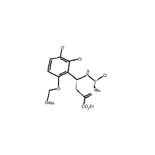 C=C(C[C@@H](N[S@@+]([O-])C(C)(C)C)c1c(OCOC)ccc(Cl)c1Cl)C(=O)OCC